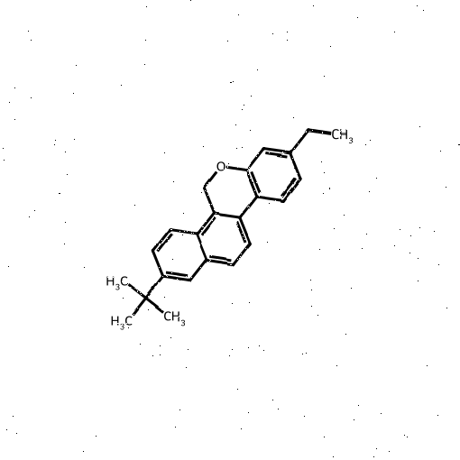 CCc1ccc2c(c1)OCc1c-2ccc2cc(C(C)(C)C)ccc12